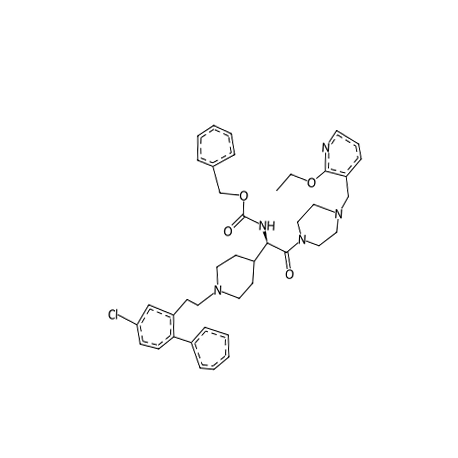 CCOc1ncccc1CN1CCN(C(=O)[C@H](NC(=O)OCc2ccccc2)C2CCN(CCc3cc(Cl)ccc3-c3ccccc3)CC2)CC1